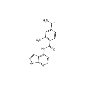 C[C@@H](N)c1ccc(C(=O)Nc2ccnc3[nH]ncc23)c([N+](=O)[O-])c1